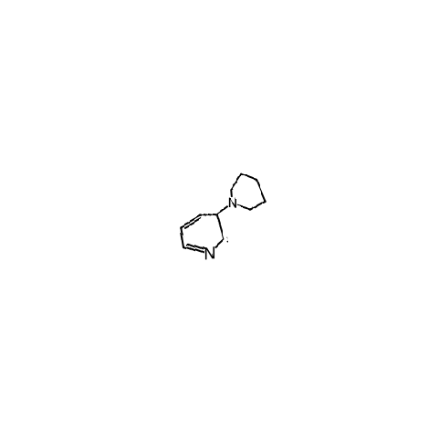 [C]1N=CC=CC1N1CCCCC1